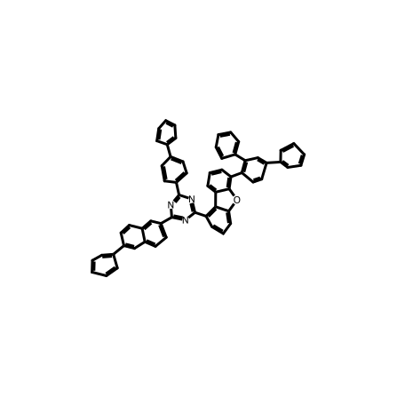 c1ccc(-c2ccc(-c3nc(-c4ccc5cc(-c6ccccc6)ccc5c4)nc(-c4cccc5oc6c(-c7ccc(-c8ccccc8)cc7-c7ccccc7)cccc6c45)n3)cc2)cc1